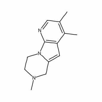 Cc1cnc2c(cc3n2CCN(C)C3)c1C